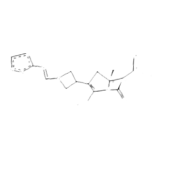 C[C@@H](O)[C@H]1C(=O)N2C(C(=O)O)=C(C3CN(C=Nc4nncs4)C3)C[C@H]12